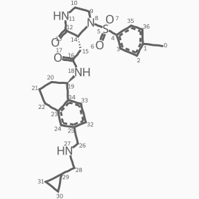 Cc1ccc(S(=O)(=O)N2CCNC(=O)[C@H]2CC(=O)N[C@@H]2CCCc3cc(CNCC4CC4)ccc32)cc1